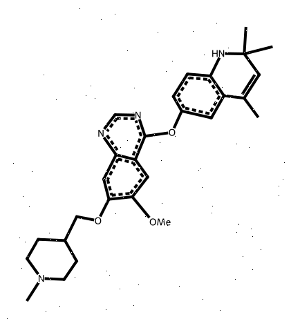 COc1cc2c(Oc3ccc4c(c3)C(C)=CC(C)(C)N4)ncnc2cc1OCC1CCN(C)CC1